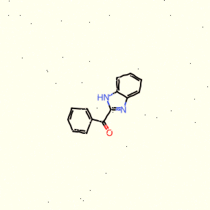 O=C(c1ccccc1)c1nc2ccccc2[nH]1